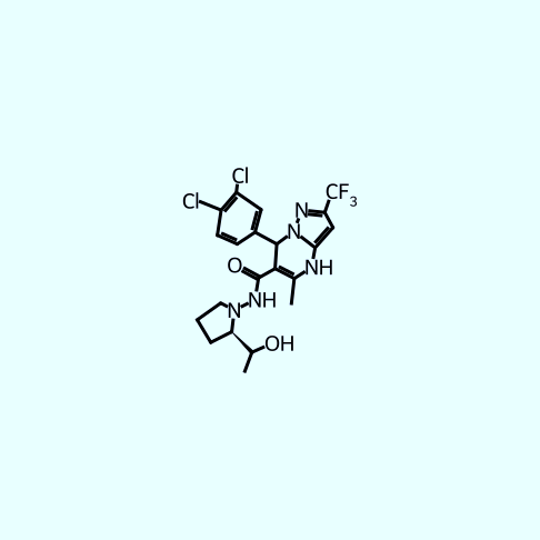 CC1=C(C(=O)NN2CCC[C@@H]2C(C)O)C(c2ccc(Cl)c(Cl)c2)n2nc(C(F)(F)F)cc2N1